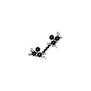 CC1=CC2=Nc3cc(Br)c(N)cc3N(c3ccccc3)C2C=C1NCCCCCCCCNc1cc2c(cc1C)nc1cc(Br)c(N)cc1[n+]2-c1ccccc1